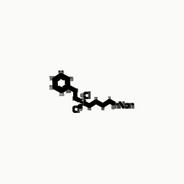 CCCCCCCCCCCCC[Si](Cl)(Cl)CCc1ccccc1